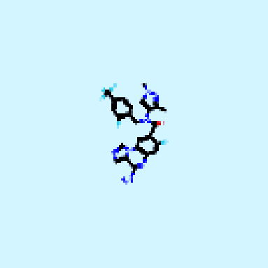 Cc1nn(C)cc1N(Cc1ccc(C(F)(F)F)cc1F)C(=O)c1cc2c(cc1F)nc(N)c1cncn12